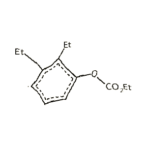 CCOC(=O)Oc1cc[c]c(CC)c1CC